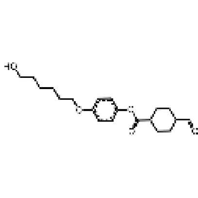 O=CC1CCC(C(=O)Oc2ccc(OCCCCCCO)cc2)CC1